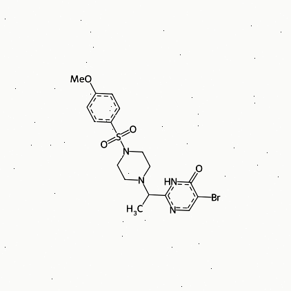 COc1ccc(S(=O)(=O)N2CCN(C(C)c3ncc(Br)c(=O)[nH]3)CC2)cc1